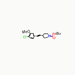 COc1cc(C#CC2CCN(C(=O)OC(C)(C)C)CC2)ccc1Cl